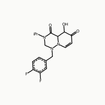 CC(C)N1CN(Cc2ccc(F)c(F)c2)N2C=CC(=O)C(O)C2C1=O